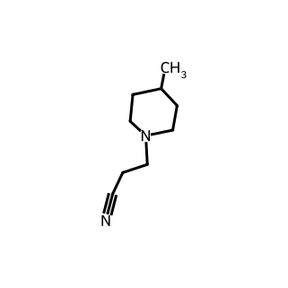 CC1CCN(CCC#N)CC1